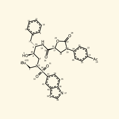 CC[C@H](C)CN(C[C@@H](O)[C@H](Cc1ccccc1)NC(=O)[C@@H]1CN(c2ccc(C(C)=O)cc2)C(=O)O1)S(=O)(=O)c1ccc2ncsc2c1